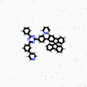 C1=CB2c3cc4c(cc3-c3ccc(-c5nc(-c6ccccc6)nc(-c6cccc(-c7ccncc7)c6)n5)cc3N2C=C1)C1(c2ccccc2-c2ccccc21)c1ccccc1-4